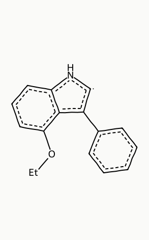 CCOc1cccc2[nH][c]c(-c3ccccc3)c12